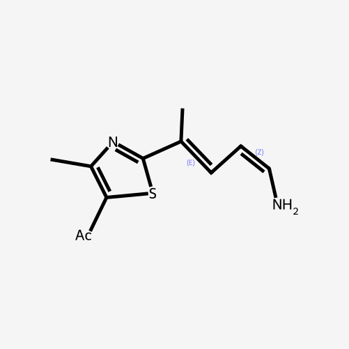 CC(=O)c1sc(/C(C)=C/C=C\N)nc1C